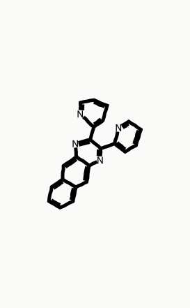 c1ccc(-c2nc3cc4ccccc4cc3nc2-c2ccccn2)nc1